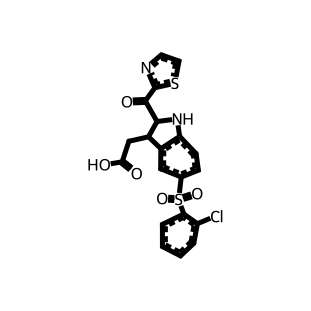 O=C(O)CC1c2cc(S(=O)(=O)c3ccccc3Cl)ccc2NC1C(=O)c1nccs1